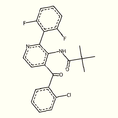 CC(C)(C)C(=O)Nc1c(C(=O)c2ccccc2Cl)ccnc1-c1c(F)cccc1F